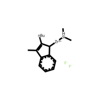 CCCCC1=C(C)c2ccccc2[CH]1[Zr+2][SiH](C)C.[F-].[F-]